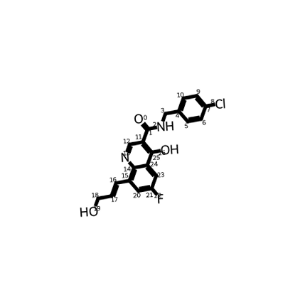 O=C(NCc1ccc(Cl)cc1)c1cnc2c(C=CCO)cc(F)cc2c1O